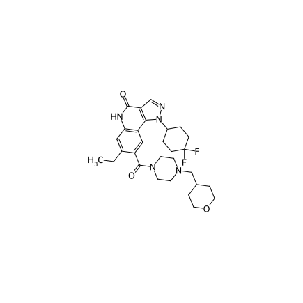 CCc1cc2[nH]c(=O)c3cnn(C4CCC(F)(F)CC4)c3c2cc1C(=O)N1CCN(CC2CCOCC2)CC1